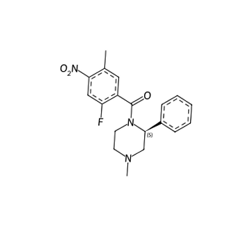 Cc1cc(C(=O)N2CCN(C)C[C@@H]2c2ccccc2)c(F)cc1[N+](=O)[O-]